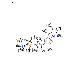 CCCCCCc1c(/C=C/C2=C(C#N)C(C(C#N)C#N)N(CCCC)C2=O)sc(-c2sc(N(CCCC)CCCC)c(CCCCCC)c2CCCCCC)c1CCCCCC